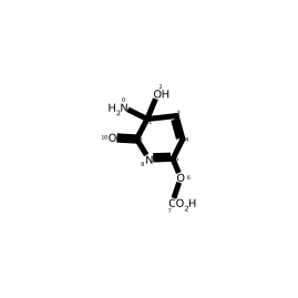 NC1(O)C=CC(OC(=O)O)=NC1=O